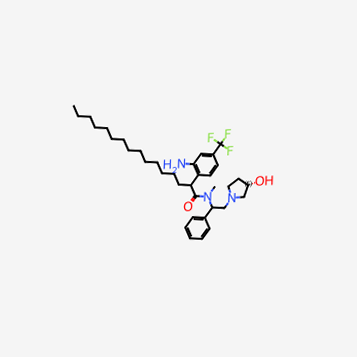 CCCCCCCCCCCCCCC(C(=O)N(C)C(CN1CC[C@H](O)C1)c1ccccc1)c1ccc(C(F)(F)F)cc1N